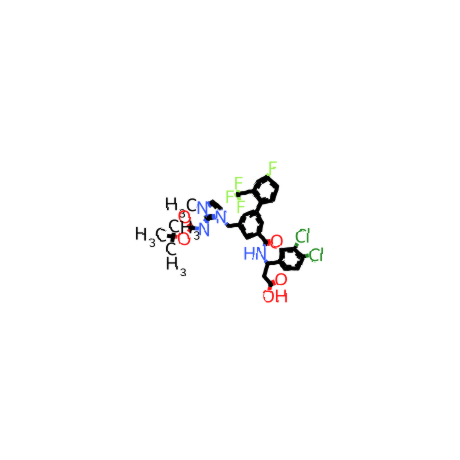 Cn1ccn(Cc2cc(C(=O)NC(CC(=O)O)c3ccc(Cl)c(Cl)c3)cc(-c3ccc(F)cc3C(F)(F)F)c2)c1=NC(=O)OC(C)(C)C